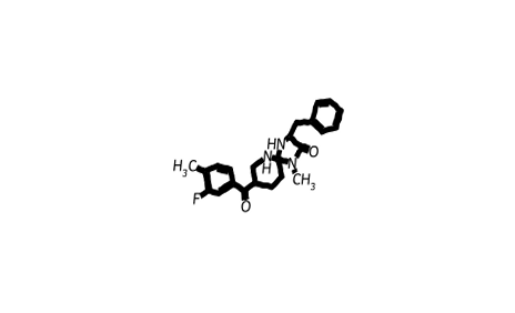 Cc1ccc(C(=O)C2CCC3(NC2)NC(Cc2ccccc2)C(=O)N3C)cc1F